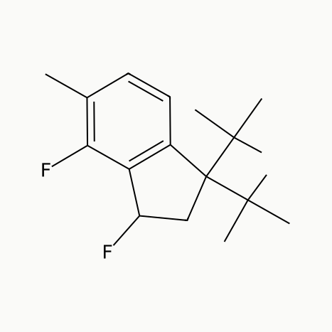 Cc1ccc2c(c1F)C(F)CC2(C(C)(C)C)C(C)(C)C